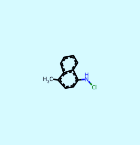 Cc1ccc(NCl)c2ccccc12